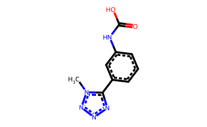 Cn1nnnc1-c1cccc(NC(=O)O)c1